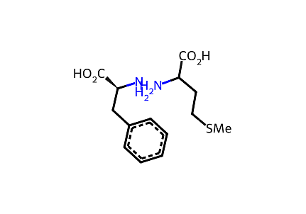 CSCCC(N)C(=O)O.N[C@@H](Cc1ccccc1)C(=O)O